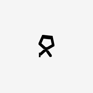 CS1(I)CC=CC1